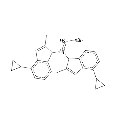 CCCC[SiH]=[Hf]([CH]1C(C)=Cc2c(C3CC3)cccc21)[CH]1C(C)=Cc2c(C3CC3)cccc21